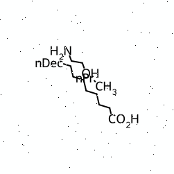 CCCC.CCCCCCCCCCCCCCCCCC(=O)O.NCCO